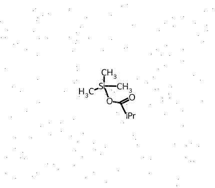 CC(C)C(=O)O[Si](C)(C)C